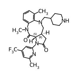 Cc1cc(C(F)(F)F)cc(N2C(=O)C[C@@H]3CN(CC4CCNCC4)c4c(C)cccc4N(C)C(=O)[C@H]32)n1